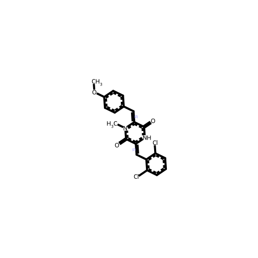 COc1ccc(/C=c2/c(=O)[nH]/c(=C\c3c(Cl)cccc3Cl)c(=O)n2C)cc1